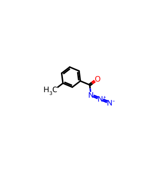 Cc1cccc(C(=O)N=[N+]=[N-])c1